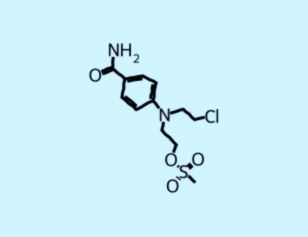 CS(=O)(=O)OCCN(CCCl)c1ccc(C(N)=O)cc1